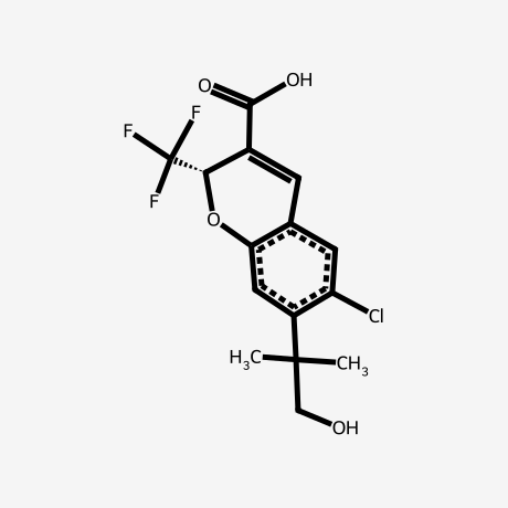 CC(C)(CO)c1cc2c(cc1Cl)C=C(C(=O)O)[C@@H](C(F)(F)F)O2